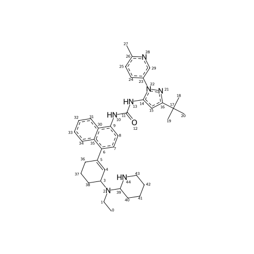 CCN(C1C=C(c2ccc(NC(=O)Nc3cc(C(C)(C)C)nn3-c3ccc(C)nc3)c3ccccc23)CCC1)C1CCCCN1